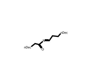 CCCCCCCCCCCCC=NC(=O)CCCCCCCCCCC